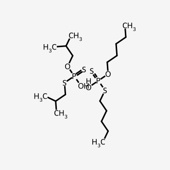 CC(C)COP(O)(=S)SCC(C)C.CCCCCOP(O)(=S)SCCCCC